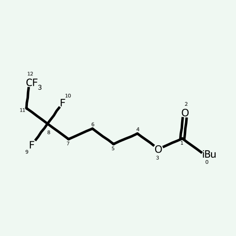 CCC(C)C(=O)OCCCCC(F)(F)CC(F)(F)F